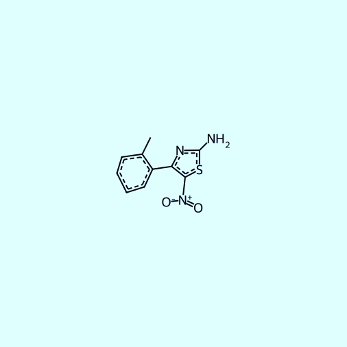 Cc1ccccc1-c1nc(N)sc1[N+](=O)[O-]